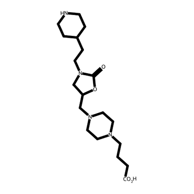 O=C(O)CCCN1CCN(CC2CN(CCC3CCNCC3)C(=O)O2)CC1